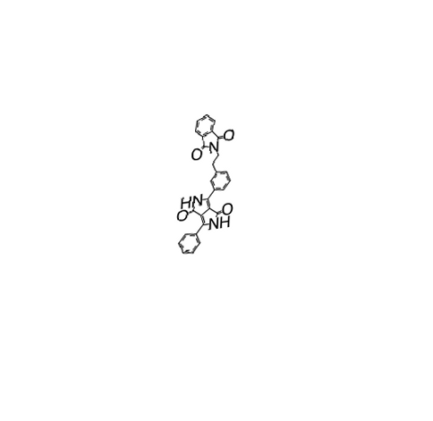 O=C1NC(c2cccc(CCN3C(=O)c4ccccc4C3=O)c2)=C2C(=O)NC(c3ccccc3)=C12